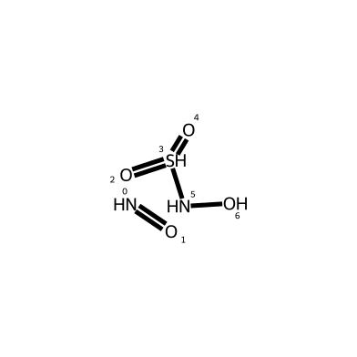 N=O.O=[SH](=O)NO